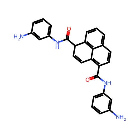 Nc1cccc(NC(=O)c2ccc3cccc4c3c2C=CC4C(=O)Nc2cccc(N)c2)c1